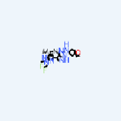 CNc1nc(NC2CCC3(CCO3)CC2)nc2[nH]cc(-c3ccc4nc(C)n(CC(F)F)c4n3)c12